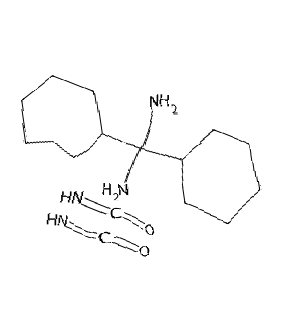 N=C=O.N=C=O.NC(N)(C1CCCCC1)C1CCCCC1